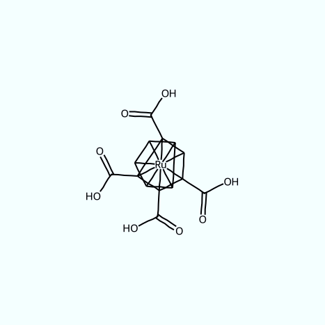 O=C(O)[C]12[CH]3[C]4(C(=O)O)[C]5(C(=O)O)[C]1(C(=O)O)[Ru]32451678[CH]2[CH]1[CH]6[CH]7[CH]28